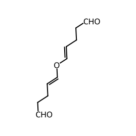 O=CCCC=COC=CCCC=O